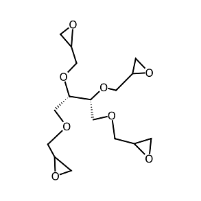 C(OC[C@H](OCC1CO1)[C@@H](COCC1CO1)OCC1CO1)C1CO1